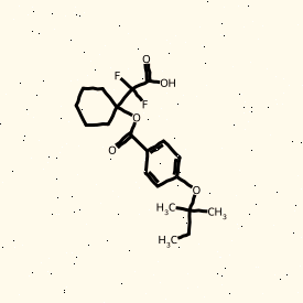 CCC(C)(C)Oc1ccc(C(=O)OC2(C(F)(F)C(=O)O)CCCCC2)cc1